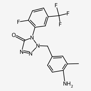 Cc1cc(Cn2nnc(=O)n2-c2cc(C(F)(F)F)ccc2F)ccc1N